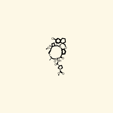 COC(=O)N1CC[C@H](C(=O)NS2(=O)=NC(=O)c3ccc4c(c3)N(C[C@@H]3CC[C@H]3[C@@H](OC)/C=C/C[C@H](C)C2)C[C@@]2(CCCc3cc(Cl)ccc32)CO4)C1